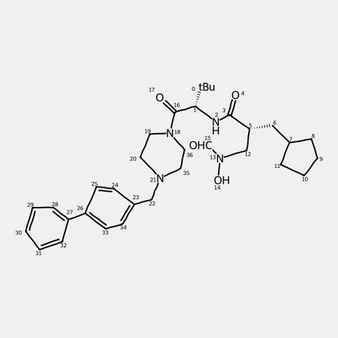 CC(C)(C)[C@H](NC(=O)[C@H](CC1CCCC1)CN(O)C=O)C(=O)N1CCN(Cc2ccc(-c3ccccc3)cc2)CC1